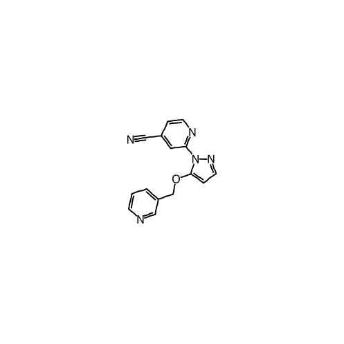 N#Cc1ccnc(-n2nccc2OCc2cccnc2)c1